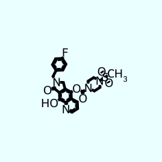 CS(=O)(=O)N1CCN(C(=O)Oc2c3c(c(O)c4ncccc24)C(=O)N(Cc2ccc(F)cc2)C3)CC1